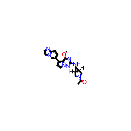 COc1nc(N[C@H]2[C@@H]3CN(C(C)=O)C[C@@H]32)nn2ccc(-c3ccc4nccn4c3)c12